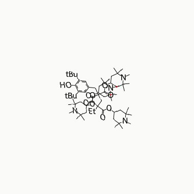 CCC(CC(Cc1cc(C(C)(C)C)c(O)c(C(C)(C)C)c1)(C(=O)OC1CC(C)(C)N(C)C(C)(C)C1)C(=O)OC1CC(C)(C)N(C)C(C)(C)C1)(C(=O)OC1CC(C)(C)N(C)C(C)(C)C1)C(=O)OC1CC(C)(C)N(C)C(C)(C)C1